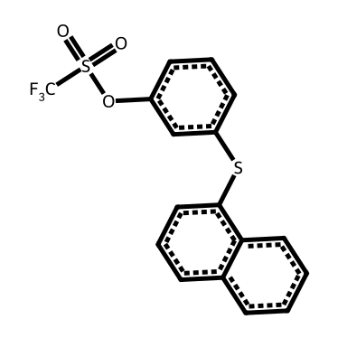 O=S(=O)(Oc1cccc(Sc2cccc3ccccc23)c1)C(F)(F)F